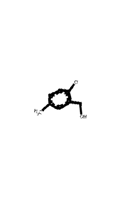 Cc1ccc(Cl)c([CH]O)c1